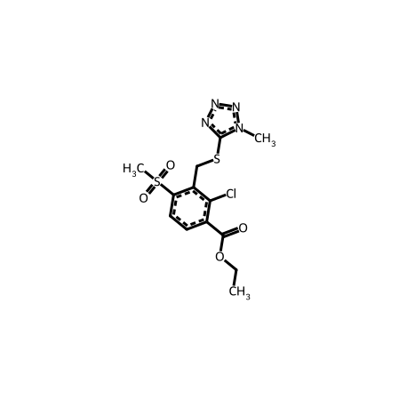 CCOC(=O)c1ccc(S(C)(=O)=O)c(CSc2nnnn2C)c1Cl